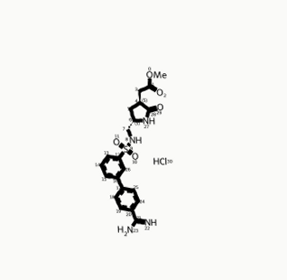 COC(=O)C[C@@H]1C[C@@H](CNS(=O)(=O)c2cccc(-c3ccc(C(=N)N)cc3)c2)NC1=O.Cl